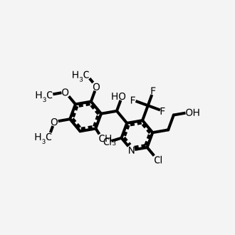 COc1cc(C)c(C(O)c2c(Cl)nc(Cl)c(CCO)c2C(F)(F)F)c(OC)c1OC